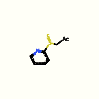 CC(=O)CS(=S)c1ccccn1